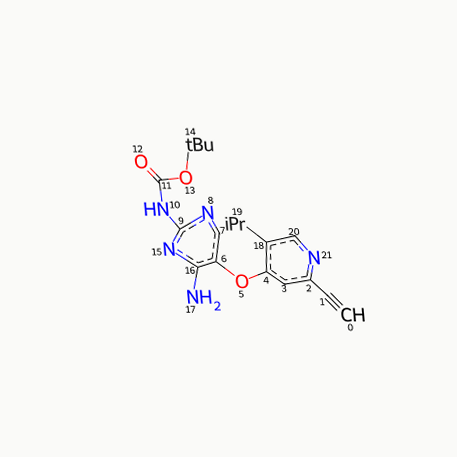 C#Cc1cc(Oc2cnc(NC(=O)OC(C)(C)C)nc2N)c(C(C)C)cn1